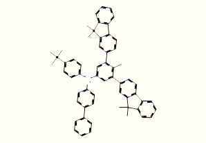 Cc1c(-c2ccc3c(c2)C(C)(C)c2ccccc2-3)cc(N(c2ccc(-c3ccccc3)cc2)c2ccc(C(C)(C)C)cc2)cc1-c1ccc2c(c1)C(C)(C)c1ccccc1-2